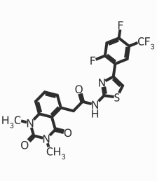 Cn1c(=O)c2c(CC(=O)Nc3nc(-c4cc(C(F)(F)F)c(F)cc4F)cs3)cccc2n(C)c1=O